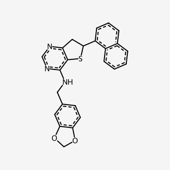 c1ccc2c(C3Cc4ncnc(NCc5ccc6c(c5)OCO6)c4S3)cccc2c1